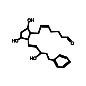 O=CCCC/C=C\CC1C(O)CC(O)[C@@H]1/C=C/C(O)CCc1ccccc1